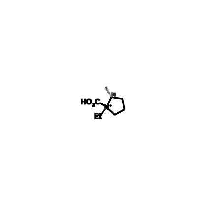 CC[N+]1(C(=O)O)CCC[C@H]1C